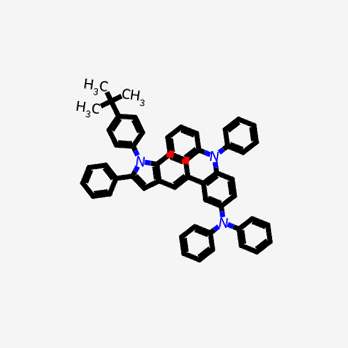 CC(C)(C)c1ccc(-n2c(-c3ccccc3)cc3cc(-c4cc(N(c5ccccc5)c5ccccc5)ccc4N(c4ccccc4)c4ccccc4)ccc32)cc1